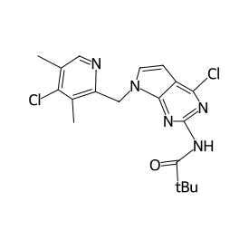 Cc1cnc(Cn2ccc3c(Cl)nc(NC(=O)C(C)(C)C)nc32)c(C)c1Cl